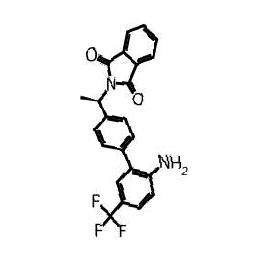 C[C@H](c1ccc(-c2cc(C(F)(F)F)ccc2N)cc1)N1C(=O)c2ccccc2C1=O